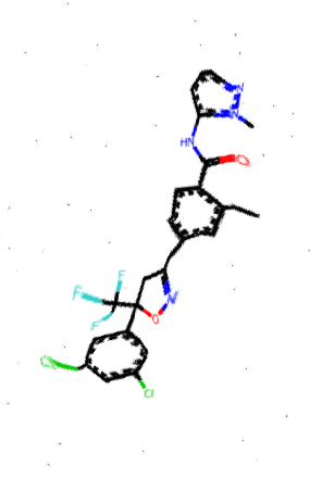 Cc1cc(C2=NOC(c3cc(Cl)cc(Cl)c3)(C(F)(F)F)C2)ccc1C(=O)Nc1ccnn1C